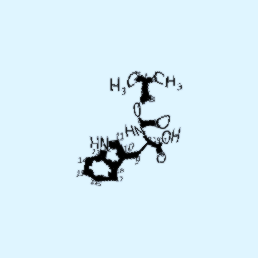 CC(C)COC(=O)N[C@H](Cc1c[nH]c2ccccc12)C(=O)O